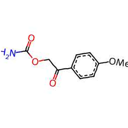 COc1ccc(C(=O)COC(N)=O)cc1